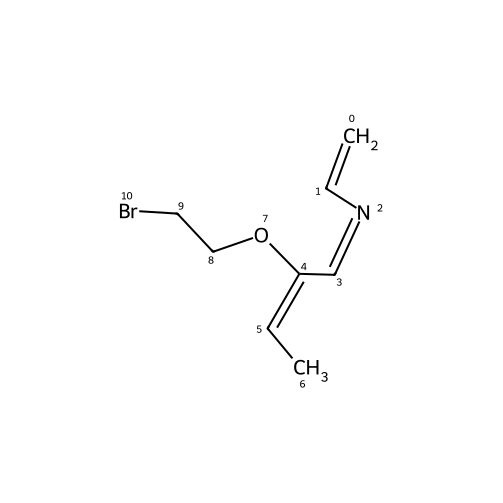 C=C/N=C\C(=C/C)OCCBr